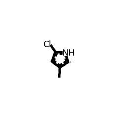 Cc1[c][nH]c(Cl)c1